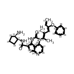 C=C/C(=C\C(C)=C(/C)N1C(=O)Nc2c(C(=O)N[C@H]3CCC[C@H]3N)sc3nccc1c23)Oc1ccccc1